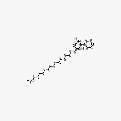 CCCCCCCCCCCCCCCCCC(=O)NC(CC)N1CCOCC1